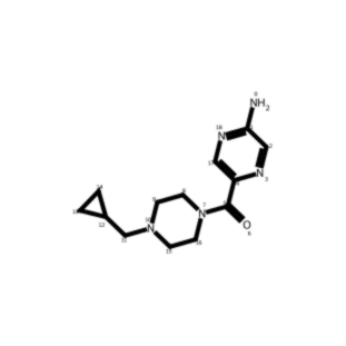 Nc1cnc(C(=O)N2CCN(CC3CC3)CC2)cn1